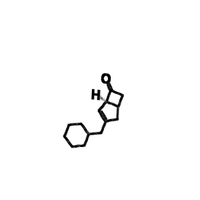 O=C1CC2CC(CC3CCCCC3)=C[C@@H]12